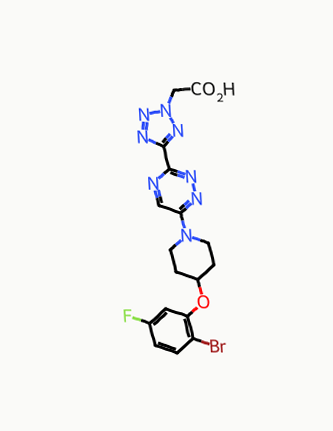 O=C(O)Cn1nnc(-c2ncc(N3CCC(Oc4cc(F)ccc4Br)CC3)nn2)n1